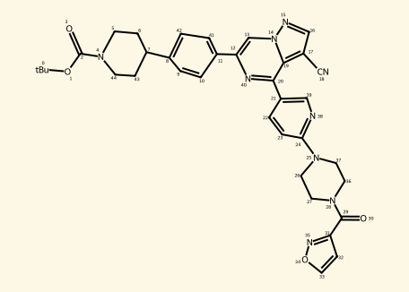 CC(C)(C)OC(=O)N1CCC(c2ccc(-c3cn4ncc(C#N)c4c(-c4ccc(N5CCN(C(=O)c6ccon6)CC5)nc4)n3)cc2)CC1